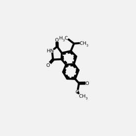 COC(=O)c1ccc2c3c(c(C(C)C)cc2c1)C(=O)NC3=O